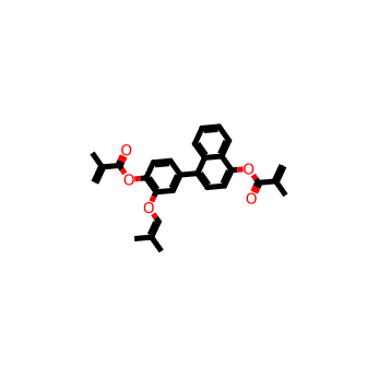 C=C(C)C(=O)Oc1ccc(-c2ccc(OC(=O)C(=C)C)c3ccccc23)cc1OC=C(C)C